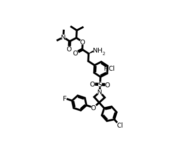 CC(C)C(OC(=O)[C@@H](N)Cc1cccc(S(=O)(=O)N2CC(Oc3ccc(F)cc3)(c3ccc(Cl)cc3)C2)c1)C(=O)N(C)C.Cl